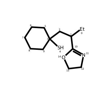 CCC(CC1(S)CCCCC1)C1=NCCO1